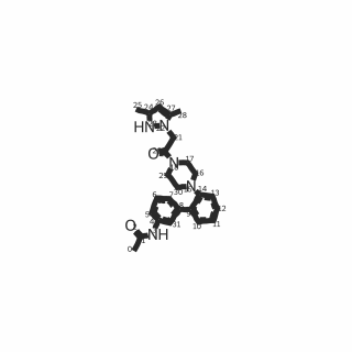 CC(=O)Nc1cccc(-c2ccccc2N2CCN(C(=O)CN3NC(C)C=C3C)CC2)c1